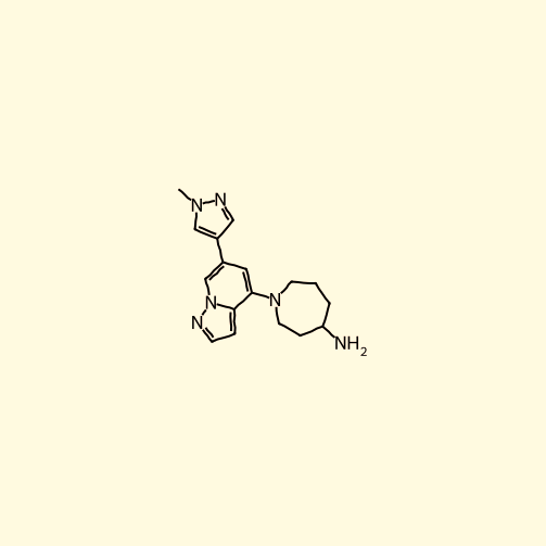 Cn1cc(-c2cc(N3CCCC(N)CC3)c3ccnn3c2)cn1